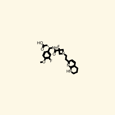 COc1ccc([C@H](CC(=O)O)NC(=O)C2(F)CN(CCc3ccc4c(n3)NCCC4)C2)cc1F